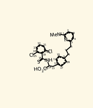 CNc1cccc(CCCc2ccc(CC(NC(=S)c3c(Cl)cccc3Cl)C(=O)O)cc2)n1